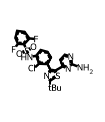 CC(C)(C)c1nc(-c2cccc(NS(=O)(=O)c3c(F)cccc3F)c2Cl)c(-c2ccnc(N)n2)s1